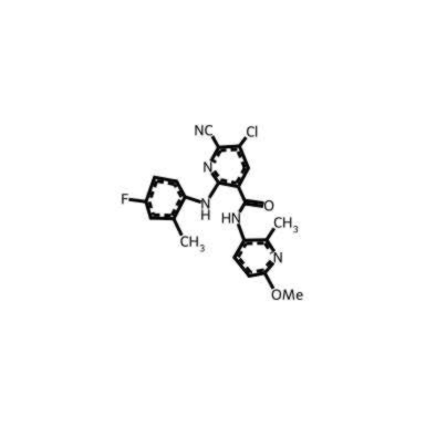 COc1ccc(NC(=O)c2cc(Cl)c(C#N)nc2Nc2ccc(F)cc2C)c(C)n1